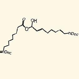 CCCCCCCCCCCCCCCCCC(=O)OC(O)CCCCCCCCCCCCCCCCC